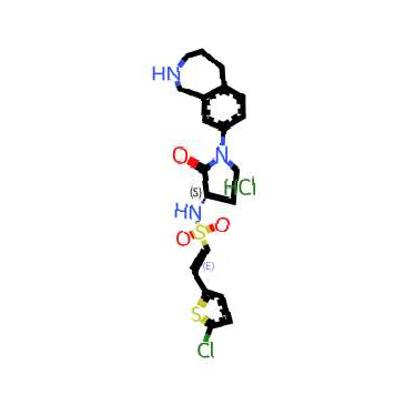 Cl.O=C1[C@@H](NS(=O)(=O)/C=C/c2ccc(Cl)s2)CCN1c1ccc2c(c1)CNCCC2